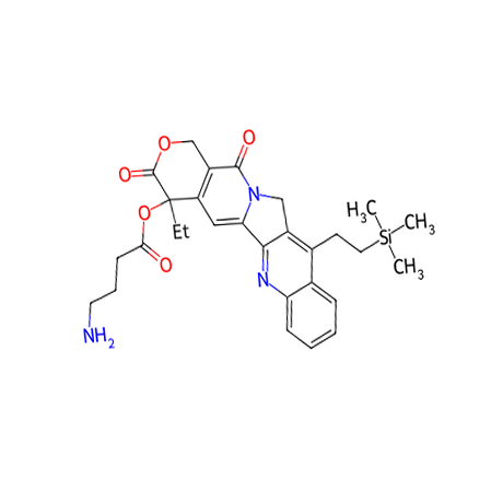 CCC1(OC(=O)CCCN)C(=O)OCc2c1cc1n(c2=O)Cc2c-1nc1ccccc1c2CC[Si](C)(C)C